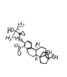 CC(C)(O)C(=O)Nc1ccc2c(c1[N+](=O)[O-])CC[C@@H]1[C@@H]2CC[C@]2(C)C3(O)CCC12CC3